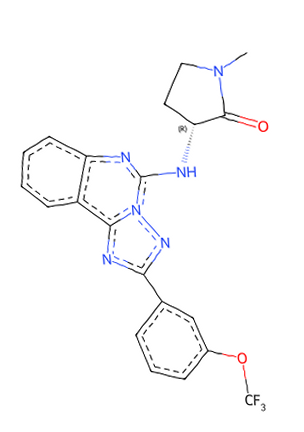 CN1CC[C@@H](Nc2nc3ccccc3c3nc(-c4cccc(OC(F)(F)F)c4)nn23)C1=O